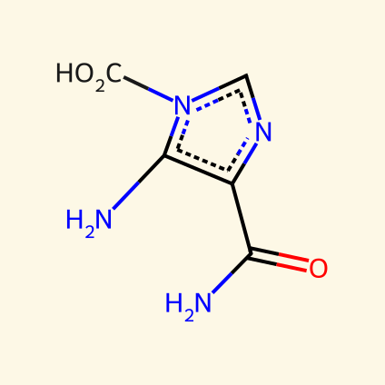 NC(=O)c1ncn(C(=O)O)c1N